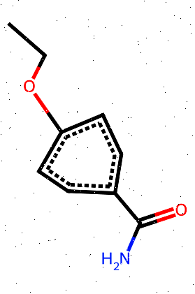 CCOc1ccc(C(N)=O)cc1